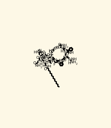 CCCCCCCCCCCCCCCC(=O)NCC(=O)N[C@@H](CO)C(=O)N[C@@H](CCC(N)=O)C(=O)N[C@@H](Cc1cnc[nH]1)C(=O)N[C@@H](CO)C(=O)N[C@@H](CCCC)C(=O)N[C@H]1CCC(=O)NCCCC[C@@H](C(N)=O)NC(=O)[C@H](Cc2c[nH]c3ccccc23)NC(=O)[C@H](CCCNC(=N)N)NC(=O)[C@@H](Cc2ccccc2)NC(=O)[C@@H]2CC(F)CN2C1=O